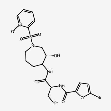 CC(C)CC(NC(=O)c1ccc(Br)o1)C(=O)NC1CCCN(S(=O)(=O)c2cccc[n+]2[O-])C[C@@H]1O